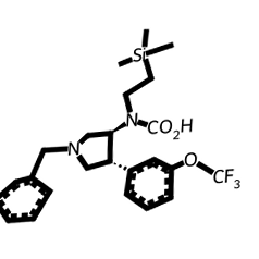 C[Si](C)(C)CCN(C(=O)O)[C@@H]1CN(Cc2ccccc2)C[C@H]1c1cccc(OC(F)(F)F)c1